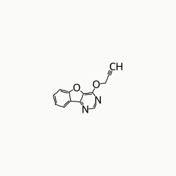 C#CCOc1ncnc2c1oc1ccccc12